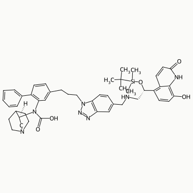 CC(C)(C)[Si](C)(C)O[C@@H](CNCc1ccc2c(c1)nnn2CCCc1ccc(-c2ccccc2)c(N(C(=O)O)[C@H]2CN3CCC2CC3)c1)c1ccc(O)c2[nH]c(=O)ccc12